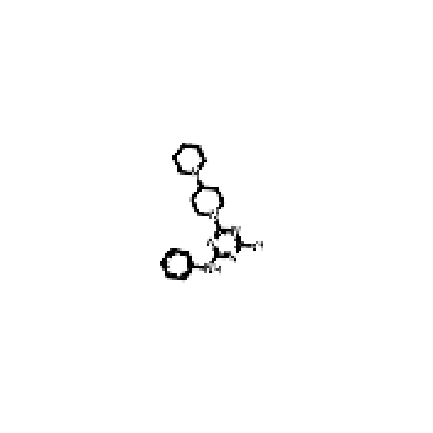 Clc1nc(Nc2ccccc2)nc(N2CCC(N3CCCCC3)CC2)n1